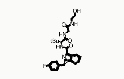 CC(C)(C)[C@H](NC(=O)c1nn(Cc2ccc(F)cc2)c2ccccc12)C(=O)NCC(=O)NCCO